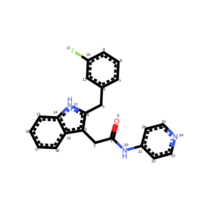 O=C(Cc1c(Cc2cccc(F)c2)[nH]c2ccccc12)Nc1ccncc1